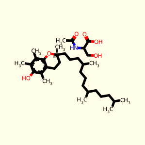 CC(=O)NC(CO)C(=O)O.Cc1c(C)c2c(c(C)c1O)CC[C@@](C)(CCCC(C)CCCC(C)CCCC(C)C)O2